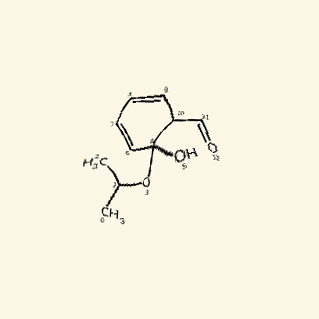 CC(C)OC1(O)C=CC=CC1C=O